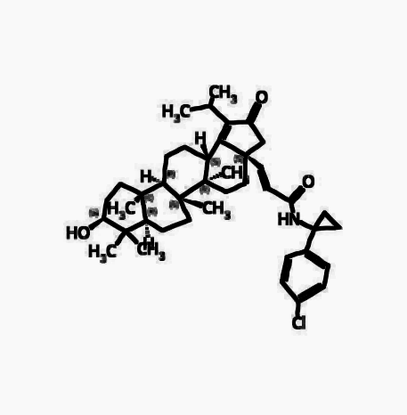 CC(C)C1=C2[C@H]3CC[C@@H]4[C@@]5(C)CC[C@H](O)C(C)(C)[C@@H]5CC[C@@]4(C)[C@]3(C)CC[C@@]2(C=CC(=O)NC2(c3ccc(Cl)cc3)CC2)CC1=O